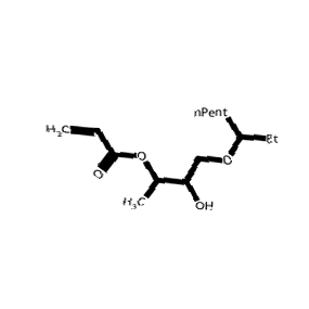 C=CC(=O)OC(C)C(O)COC(CC)CCCCC